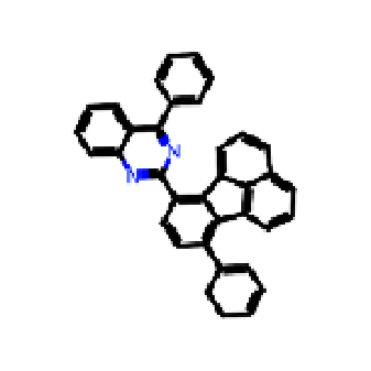 C1=CCCC(c2ccc(-c3nc(-c4ccccc4)c4ccccc4n3)c3c2-c2cccc4cccc-3c24)=C1